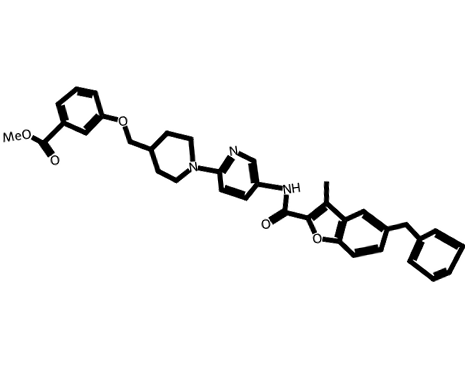 COC(=O)c1cccc(OCC2CCN(c3ccc(NC(=O)c4oc5ccc(Cc6ccccc6)cc5c4C)cn3)CC2)c1